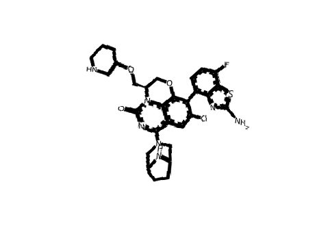 Nc1nc2c(-c3c(Cl)cc4c(N5CC6CCC(C5)N6)nc(=O)n5c4c3OC[C@@H]5COC3CCCNC3)ccc(F)c2s1